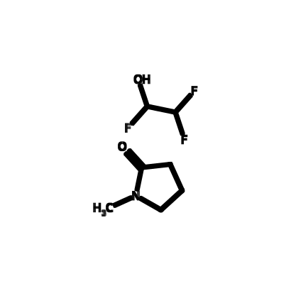 CN1CCCC1=O.OC(F)C(F)F